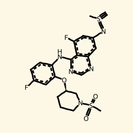 C#S(/C)=N/c1cc(F)c2c(Nc3ccc(F)cc3O[C@@H]3CCCN(S(C)(=O)=O)C3)ncnc2c1